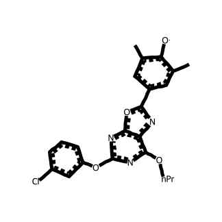 CCCOc1nc(Oc2cccc(Cl)c2)nc2oc(-c3cc(C)c([O])c(C)c3)nc12